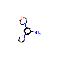 Nc1cc(N2CCCC2)cc(N2CCOCC2)c1